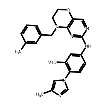 COc1cc(Nc2ncc3c(n2)N(Cc2cccc(C(F)(F)F)c2)CCO3)ccc1-n1cnc(C)c1